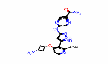 COc1nccc(O[C@H]2C[C@H](N)C2)c1-c1cc(Nc2cnc(C(N)=O)cn2)n[nH]1